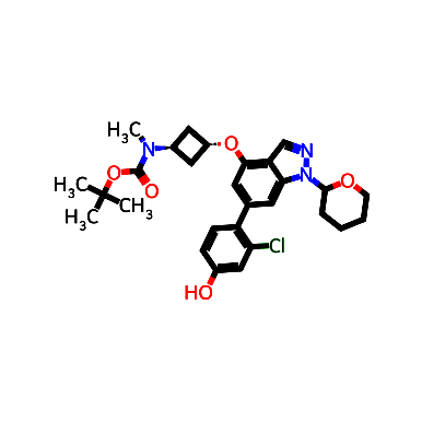 CN(C(=O)OC(C)(C)C)[C@H]1C[C@H](Oc2cc(-c3ccc(O)cc3Cl)cc3c2cnn3C2CCCCO2)C1